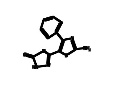 Nc1nc(-c2ccccc2)c(-c2n[nH]c(=O)o2)s1